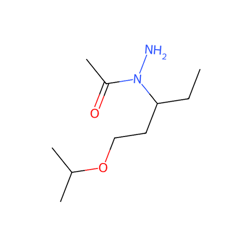 CCC(CCOC(C)C)N(N)C(C)=O